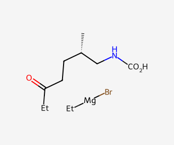 CCC(=O)CC[C@H](C)CNC(=O)O.C[CH2][Mg][Br]